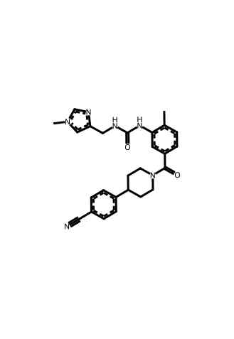 Cc1ccc(C(=O)N2CCC(c3ccc(C#N)cc3)CC2)cc1NC(=O)NCc1cn(C)cn1